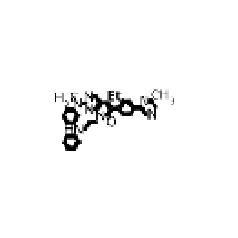 CCc1cc(-c2cncc(C)n2)ccc1-c1cc2cnc(N(C)c3ccccc3)nc2n(CCCNc2ccccc2)c1=O